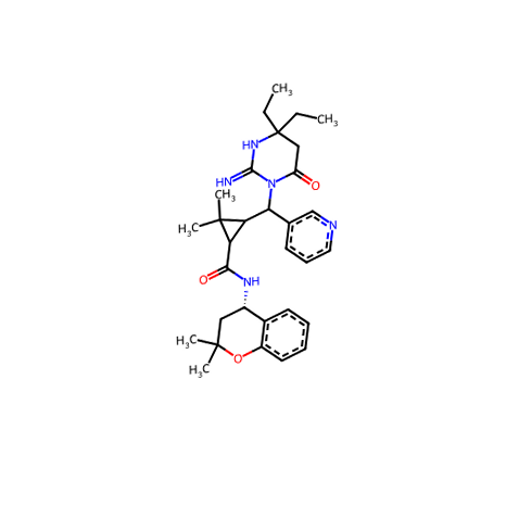 CCC1(CC)CC(=O)N(C(c2cccnc2)C2C(C(=O)N[C@H]3CC(C)(C)Oc4ccccc43)C2(C)C)C(=N)N1